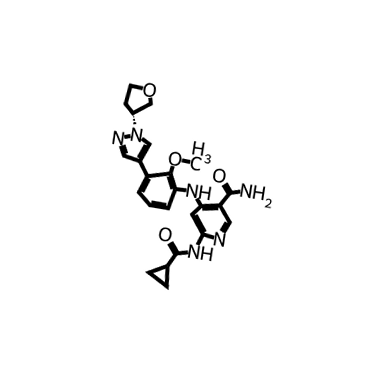 COc1c(Nc2cc(NC(=O)C3CC3)ncc2C(N)=O)cccc1-c1cnn([C@@H]2CCOC2)c1